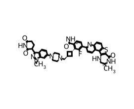 C[C@@H]1CNc2c(sc3ccc4nc(-c5ccc(C(N)=O)c([C@H]6C[C@H](CN7CCN(c8ccc9c(C%10CCC(=O)NC%10=O)nn(C)c9c8)CC7)C6)c5F)ccc4c23)C(=O)N1